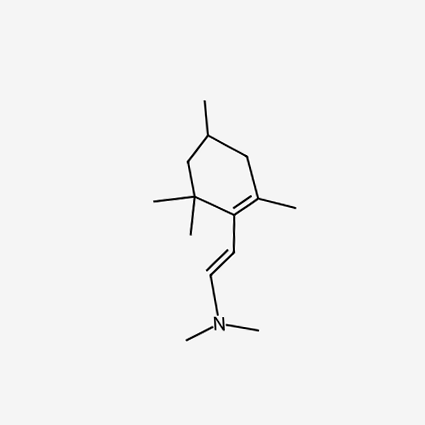 CC1=C(C=CN(C)C)C(C)(C)CC(C)C1